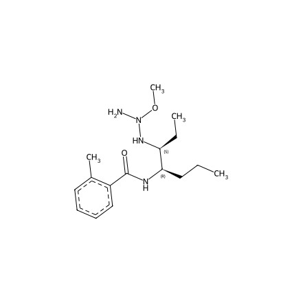 CCC[C@@H](NC(=O)c1ccccc1C)[C@H](CC)NN(N)OC